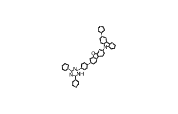 c1ccc(C2=NC(c3ccccc3)NC(c3ccc(-c4ccc5c(c4)oc4cc(-n6c7ccccc7c7cc(-c8ccccc8)ccc76)ccc45)cc3)=N2)cc1